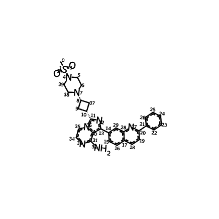 CS(=O)(=O)N1CCN([C@H]2C[C@@H](c3nc(-c4ccc5ccc(-c6ccccc6)nc5c4)c4c(N)nccn43)C2)CC1